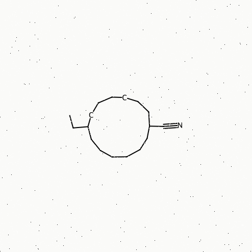 CCC1CCCCCCC(C#N)CCCCCC1